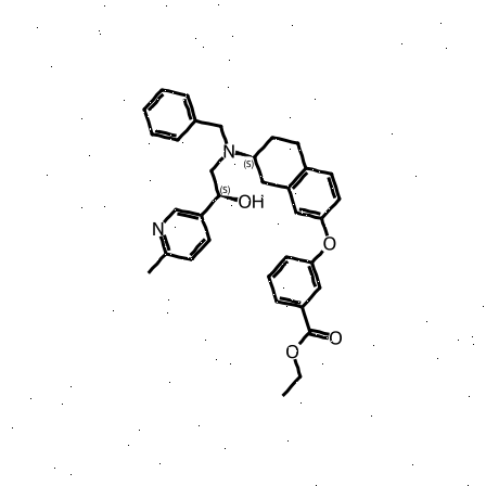 CCOC(=O)c1cccc(Oc2ccc3c(c2)C[C@@H](N(Cc2ccccc2)C[C@@H](O)c2ccc(C)nc2)CC3)c1